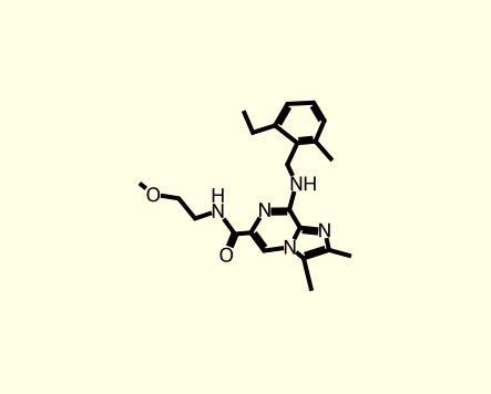 CCc1cccc(C)c1CNc1nc(C(=O)NCCOC)cn2c(C)c(C)nc12